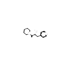 N[C@H](Cc1ccncc1)C(=O)N1CCCCC1